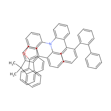 CC1(C)c2ccccc2-c2c(-c3ccccc3N(c3ccccc3-c3ccccc3-c3ccccc3-c3ccccc3)c3cccc4oc5c6ccccc6ccc5c34)cccc21